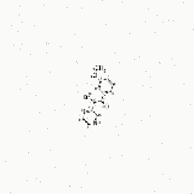 COc1cccc(C(=O)C(Br)c2cccnc2)c1